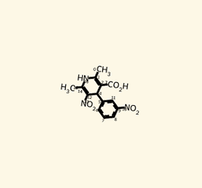 CC1=C(C(=O)O)C(c2cccc([N+](=O)[O-])c2)C([N+](=O)[O-])=C(C)N1